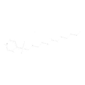 CCCCCCCCCCCC[P+](C)(C)c1ccccc1.[Br-]